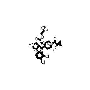 CN(C(=O)OCCC(F)(F)F)[C@@]1(C(=O)C2CCN(C(=O)C3(C)CC3)CC2)CNC[C@@H]1c1ccc(Cl)c(Cl)c1